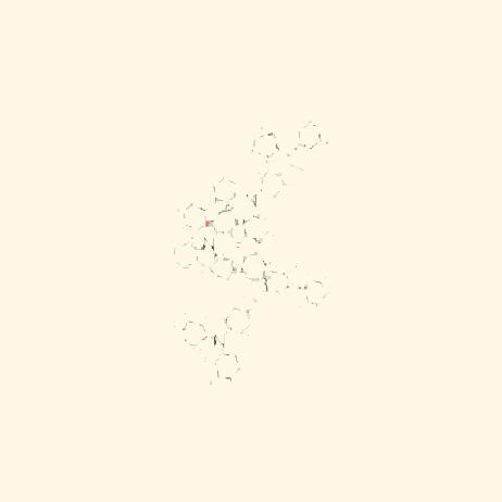 C=C(c1ccc(N(c2cccc(-c3ccccc3)c2)c2ccc3c(c2)C2(c4cc(C[C@](C)(c5ccc(N(c6ccccc6)c6ccccc6)cc5)c5cccc(-c6ccccc6)c5)ccc4-3)c3ccccc3-n3c4ccccc4c4cccc2c43)cc1)C(c1ccccc1)c1ccccc1